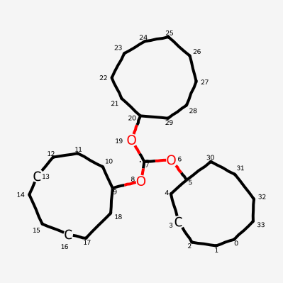 C1CCCCC(O[C](OC2CCCCCCCCC2)OC2CCCCCCCCC2)CCCC1